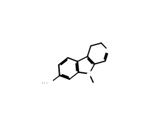 COc1ccc2c3c(n(C)c2c1)C=NCC3